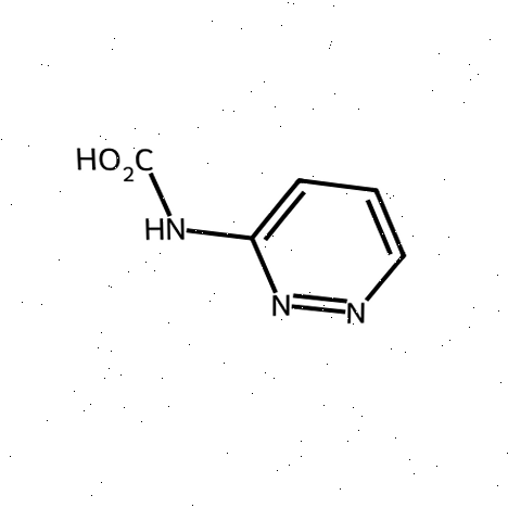 O=C(O)Nc1cccnn1